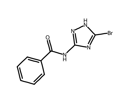 O=C(Nc1n[nH]c(Br)n1)c1ccccc1